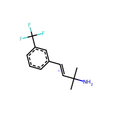 CC(C)(N)/C=C/c1cccc(C(F)(F)F)c1